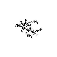 CN(CCS(=O)(=O)CC(=O)N[C@@H](CCCCN)C(=O)NCC(=O)N[C@@H](Cc1ccccc1)C(=O)NCC(=O)N[C@@H](CCCCN)C(=O)O)OCCOCC[18F]